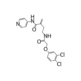 C=C(CCNC(=O)COc1ccc(Cl)c(Cl)c1)C(=O)Nc1ccncc1